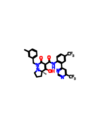 Cc1cccc(CN2C(=O)C(C(=O)Nc3ccc(C(F)(F)F)cc3-c3cc(C(F)(F)F)ncn3)=C(O)[C@@]3(C)CCCN23)c1